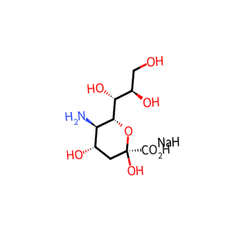 N[C@H]1[C@H]([C@H](O)[C@H](O)CO)O[C@](O)(C(=O)O)C[C@@H]1O.[NaH]